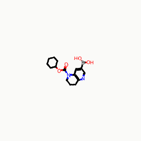 O=C(OC1CCCCC1)N1CCCc2ncc(B(O)O)cc21